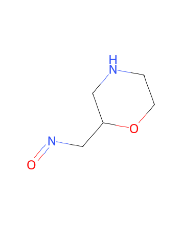 O=NCC1CNCCO1